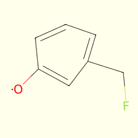 [O]c1cccc(CF)c1